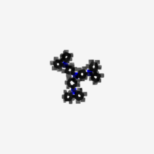 C1=CC(n2c3ccccc3c3ccccc32)=CC=C(N(c2ccc(-n3c4ccccc4c4ccccc43)cc2)c2ccc(-n3c4ccccc4c4ccccc43)cc2)C1